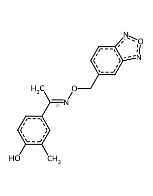 C/C(=N\OCc1ccc2nonc2c1)c1ccc(O)c(C)c1